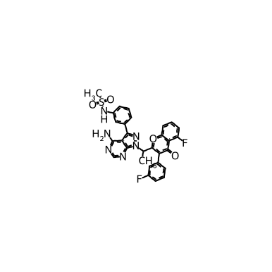 CC(c1oc2cccc(F)c2c(=O)c1-c1cccc(F)c1)n1nc(-c2cccc(NS(C)(=O)=O)c2)c2c(N)ncnc21